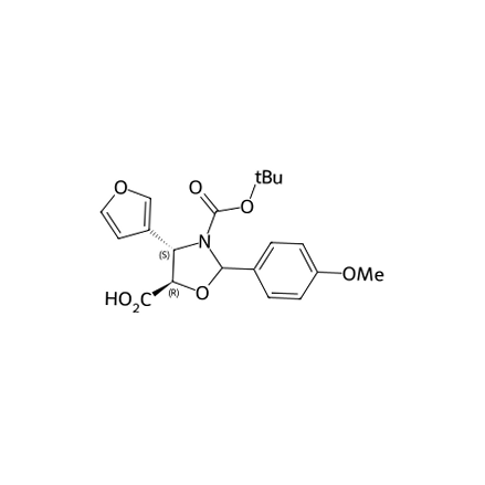 COc1ccc(C2O[C@@H](C(=O)O)[C@H](c3ccoc3)N2C(=O)OC(C)(C)C)cc1